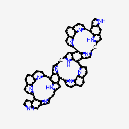 c1cc2c3c4[nH]c(cc4cc2[nH]1)Cc1cc2c([nH]1)c(c1cc4cc5cc6c(n5)c(c5ccc7ccc8ccc(nc8c7n5)c2c1[nH]4)c1cc2cc4cc5cc7[nH]ccc7c(c7ccc8ccc9ccc(nc9c8n7)c6c1[nH]2)c5n4)-c1ccc2ccc4ccc-3nc4c2n1